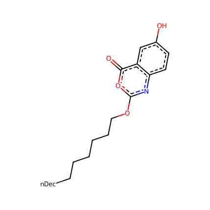 CCCCCCCCCCCCCCCCOc1nc2ccc(O)cc2c(=O)o1